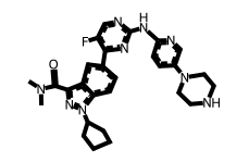 CN(C)C(=O)c1nn(C2CCCC2)c2ccc(-c3nc(Nc4ccc(N5CCNCC5)cn4)ncc3F)cc12